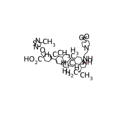 C=C(C)[C@@H]1CC[C@]2(NCCN3CCS(=O)(=O)CC3)CC[C@]3(C)[C@H](CCC4[C@@]5(C)CC=C(C6=CCC(COc7nsnc7C)(C(=O)O)CC6)C(C)(C)C5CC[C@]43C)C12C=N